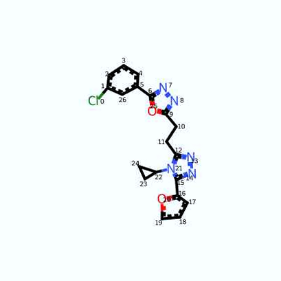 Clc1cccc(-c2nnc(CCc3nnc(-c4ccco4)n3C3CC3)o2)c1